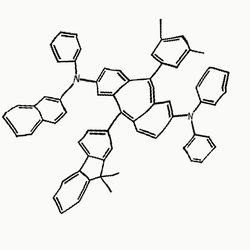 Cc1cc(C)cc(-c2c3ccc(N(c4ccccc4)c4ccc5ccccc5c4)cc3c(-c3ccc4c(c3)C(C)(C)c3ccccc3-4)c3ccc(N(c4ccccc4)c4ccccc4)cc23)c1